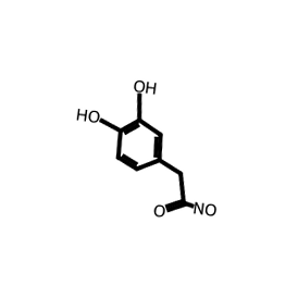 O=NC(=O)Cc1ccc(O)c(O)c1